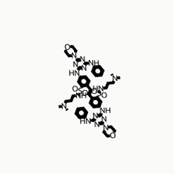 CN(C)CCCNS(=O)(=O)c1cc(Nc2nc(Nc3ccccc3)nc(N3CCOCC3)n2)ccc1/C=C/c1ccc(Nc2nc(Nc3ccccc3)nc(N3CCOCC3)n2)cc1S(=O)(=O)NCCCN(C)C